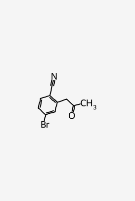 CC(=O)Cc1cc(Br)ccc1C#N